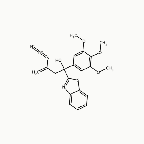 C=C(CC(O)(c1cc(OC)c(OC)c(OC)c1)c1nc2ccccc2s1)N=[N+]=[N-]